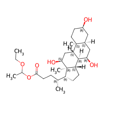 CCOC(C)OC(=O)CC[C@@H](C)[C@H]1CC[C@H]2[C@@H]3[C@H](O)C[C@@H]4C[C@H](O)CC[C@]4(C)[C@H]3C[C@H](O)[C@]12C